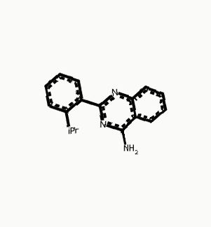 CC(C)c1ccccc1-c1nc(N)c2ccccc2n1